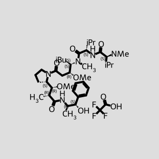 CC[C@H](C)[C@@H]([C@@H](CC(=O)N1CCC[C@H]1[C@H](OC)[C@@H](C)C(=O)N[C@H](C)[C@@H](O)c1ccccc1)OC)N(C)C(=O)[C@@H](NC(=O)[C@@H](NC)C(C)C)C(C)C.O=C(O)C(F)(F)F